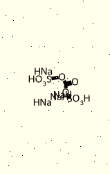 O=C(OS(=O)(=O)O)OS(=O)(=O)O.[NaH].[NaH].[NaH].[NaH]